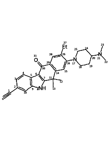 C#Cc1ccc2c3c([nH]c2c1)C(C)(C)c1cc(N2CCC(N(C)C)CC2)c(CC)cc1C3=O